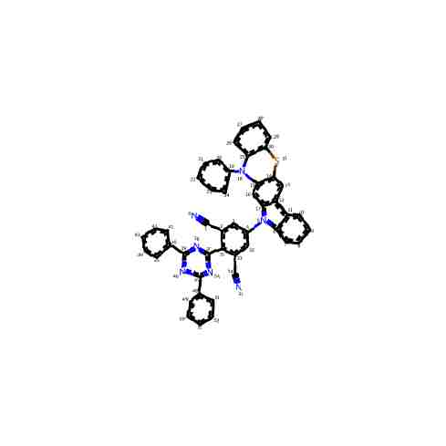 N#Cc1cc(-n2c3ccccc3c3cc4c(cc32)N(c2ccccc2)c2ccccc2S4)cc(C#N)c1-c1nc(-c2ccccc2)nc(-c2ccccc2)n1